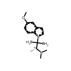 BC(B)([C@@H](C)N(C)C)n1ccc2cc(OC)ccc21